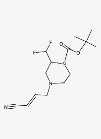 CC(C)(C)OC(=O)N1CCN(CC=CC#N)CC1C(F)F